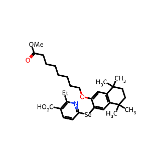 CCc1nc([Se]c2cc3c(cc2OCCCCCCCC(=O)OC)C(C)(C)CCC3(C)C)ccc1C(=O)O